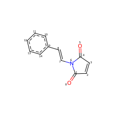 O=C1C=CC(=O)N1C=Cc1ccccc1